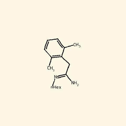 CCCCCCN=C(N)Cc1c(C)cccc1C